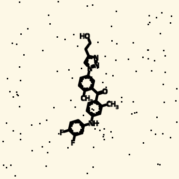 Cc1cc(Nc2ccc(F)c(F)c2)ccc1C(=O)c1cc(-n2cc(CCO)nn2)ccc1C